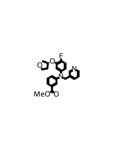 COC(=O)c1cccc(N(Cc2cccnc2)c2ccc(F)c(O[C@@H]3CCOC3)c2)c1